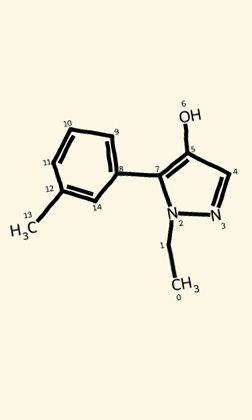 CCn1ncc(O)c1-c1cccc(C)c1